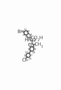 Cc1c(C(=O)NC2(C(=O)O)Cc3ccc(Br)cc3C2)oc2cc(-c3ccc(Cl)cc3)ccc12